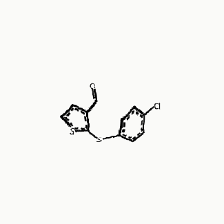 O=Cc1ccsc1Sc1ccc(Cl)cc1